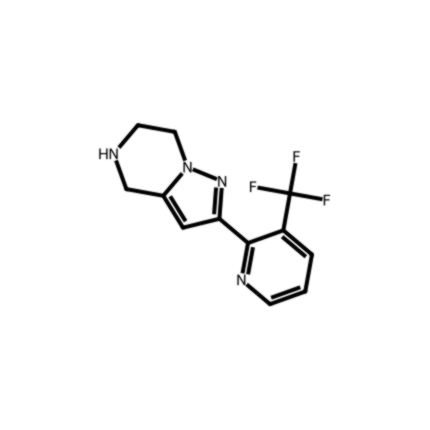 FC(F)(F)c1cccnc1-c1cc2n(n1)CCNC2